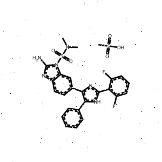 CN(C)S(=O)(=O)n1c(N)nc2ccc(-c3nc(-c4c(F)cccc4F)[nH]c3-c3ccccc3)cc21.CS(=O)(=O)O